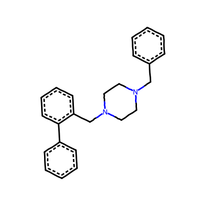 c1ccc(CN2CCN(Cc3ccccc3-c3ccccc3)CC2)cc1